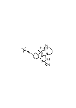 C[C@@]1(c2cc(C#C[Si](C)(C)C)ccc2F)CS2(O)NCCCCN2C(NC(=O)O)=N1